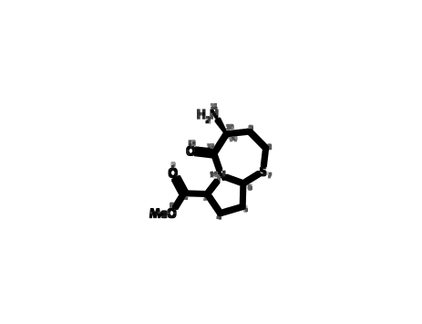 COC(=O)C1CCC2SCC[C@H](N)C(=O)N21